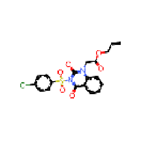 C=CCOC(=O)Cn1c(=O)n(S(=O)(=O)c2ccc(Cl)cc2)c(=O)c2ccccc21